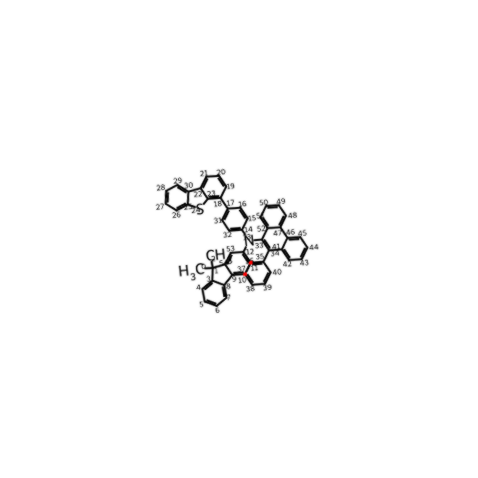 CC1(C)c2ccccc2-c2ccc(N(c3ccc(-c4cccc5c4sc4ccccc45)cc3)c3c(-c4ccccc4)c4ccccc4c4ccccc34)cc21